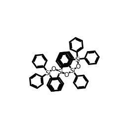 c1ccc([Si](O[Si](O[Si](c2ccccc2)(c2ccccc2)c2ccccc2)(c2ccccc2)c2ccccc2)(O[Si](c2ccccc2)(c2ccccc2)c2ccccc2)c2ccccc2)cc1